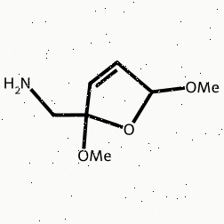 COC1C=CC(CN)(OC)O1